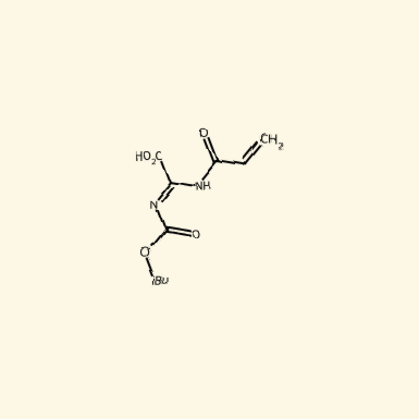 C=CC(=O)NC(=NC(=O)OC(C)CC)C(=O)O